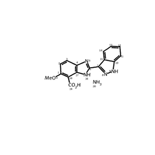 COc1ccc2nc(-c3n[nH]c4ccccc34)[nH]c2c1C(=O)O.N